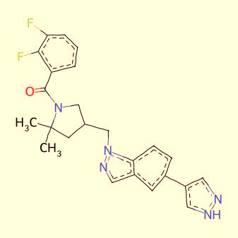 CC1(C)CC(Cn2ncc3cc(-c4cn[nH]c4)ccc32)CN1C(=O)c1cccc(F)c1F